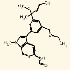 CCOCc1cc(-c2cn(C)c3cnc(NC=O)cc23)nc([C@@](C)(CCO)OC)c1